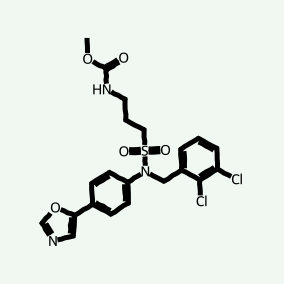 COC(=O)NCCCS(=O)(=O)N(Cc1cccc(Cl)c1Cl)c1ccc(-c2cnco2)cc1